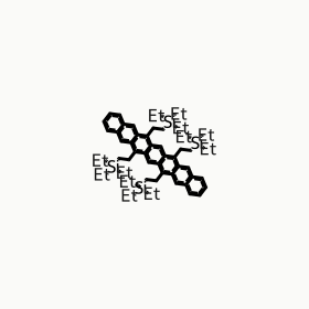 CC[Si](CC)(CC)CCc1c2cc3ccccc3cc2c(CC[Si](CC)(CC)CC)c2cc3c(CC[Si](CC)(CC)CC)c4cc5ccccc5cc4c(CC[Si](CC)(CC)CC)c3cc12